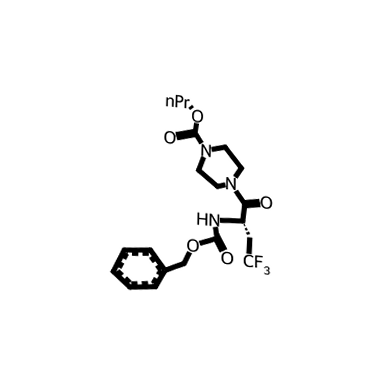 CCCOC(=O)N1CCN(C(=O)[C@H](CC(F)(F)F)NC(=O)OCc2ccccc2)CC1